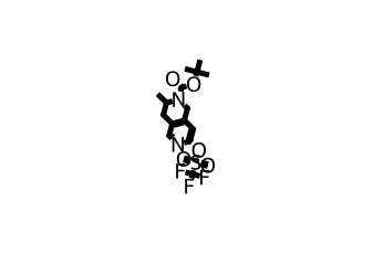 CC1Cc2cnc(OS(=O)(=O)C(F)(F)F)cc2CN1C(=O)OC(C)(C)C